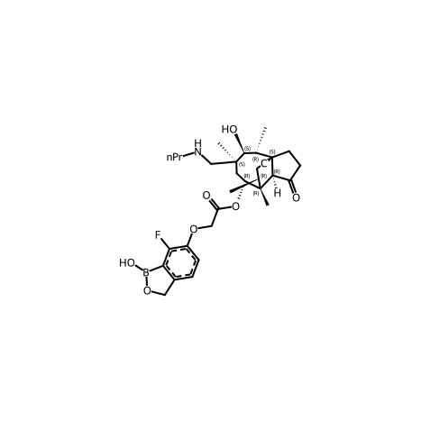 CCCNC[C@]1(C)C[C@@H](OC(=O)COc2ccc3c(c2F)B(O)OC3)[C@]2(C)[C@H](C)CC[C@]3(CCC(=O)[C@H]32)[C@@H](C)[C@@H]1O